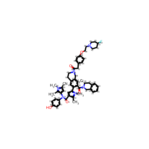 Cc1c(N(C(=O)c2cc(-c3cc4c(cc3C(=O)N3Cc5ccccc5C[C@H]3C)CN(C(=O)Cc3ccc(OCCN5CCC(F)CC5)cc3)CC4)n(C)c2C)c2ccc(O)cc2)cc(C#N)n1C